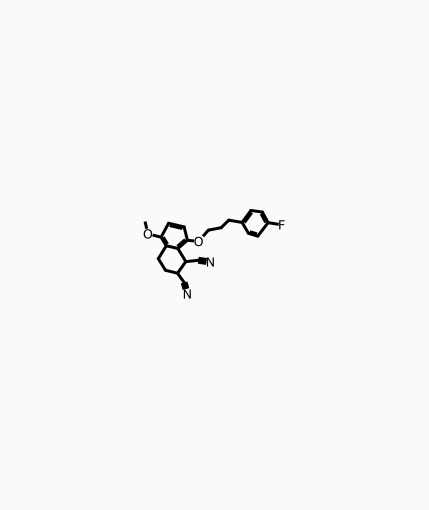 COc1ccc(OCCCc2ccc(F)cc2)c2c1CCC(C#N)C2C#N